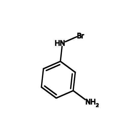 Nc1cccc(NBr)c1